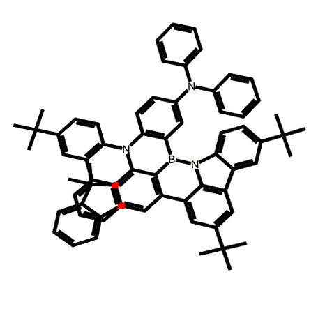 CC(C)(C)c1ccc(N2c3ccc(N(c4ccccc4)c4ccccc4)cc3B3c4c(cc5c(c42)C(C)(C)c2ccccc2-5)-c2cc(C(C)(C)C)cc4c5cc(C(C)(C)C)ccc5n3c24)c(-c2ccccc2)c1